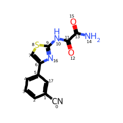 N#Cc1cccc(-c2csc(NC(=O)C(N)=O)n2)c1